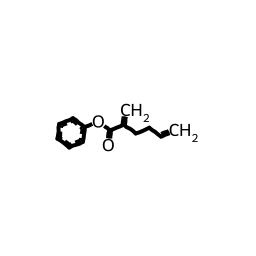 C=CCCC(=C)C(=O)Oc1ccccc1